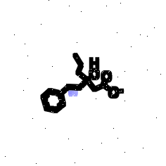 CCCC(O)(/C=C/c1ccccc1)CC(=O)OC